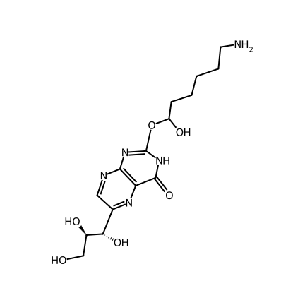 NCCCCCC(O)Oc1nc2ncc([C@H](O)[C@H](O)CO)nc2c(=O)[nH]1